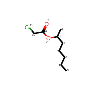 CCCCCC(C)OC(=O)CCl